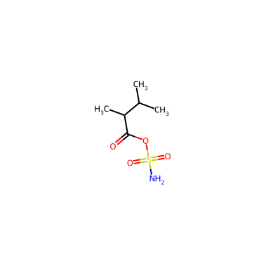 CC(C)C(C)C(=O)OS(N)(=O)=O